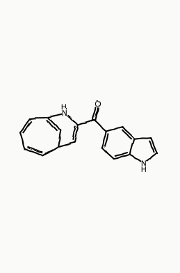 O=C(C1=CC2C=CC=CC(=C2)N1)c1ccc2[nH]ccc2c1